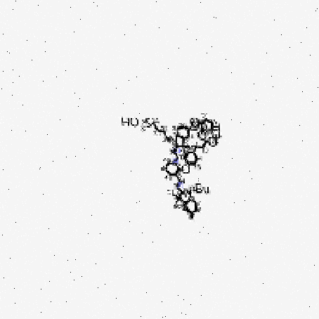 CCCC[N+]1=C(/C=C/C2=C(Oc3ccc(CCC(=O)ON4C(=O)CCC4=O)cc3)C(=C/C=C3/N(CCCCS(=O)(=O)O)c4ccc(S(=O)(=O)O)cc4C3(C)C)/CCC2)C(C)(C)c2cc(C)ccc21